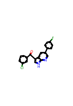 O=C(c1cccc(Cl)c1)c1c[nH]c2ncc(-c3ccc(F)cc3)cc12